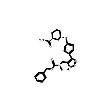 COC(=O)[C@H]1CCC[C@H](Oc2ccc(-c3nnn(C)c3CN(C)C(=O)OCc3ccccc3)cc2)C1